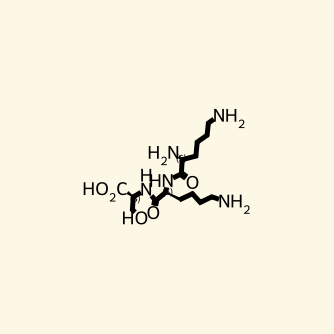 NCCCC[C@H](NC(=O)[C@@H](N)CCCCN)C(=O)N[C@@H](CO)C(=O)O